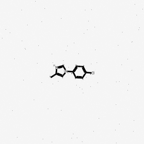 Cc1cn(-c2ccc(Cl)cc2)cn1